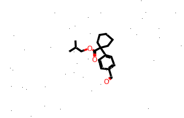 CC(C)COC(=O)C1(c2ccc(C=O)cc2)CCCCC1